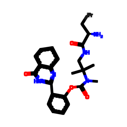 CC(C)C[C@H](N)C(=O)NCC(C)(C)N(C)C(=O)Oc1ccccc1-c1nc2ccccc2c(=O)[nH]1